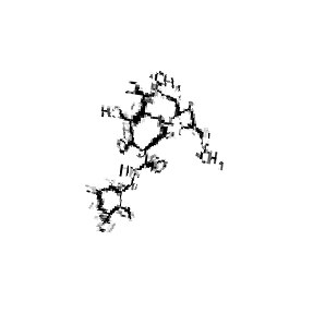 CO[C@H]1C[C@]2(CN(C)C(=O)c3c(O)c(=O)c(C(=O)NCc4cccc(Cl)c4F)cn32)C1